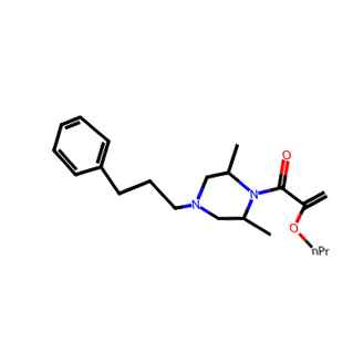 C=C(OCCC)C(=O)N1C(C)CN(CCCc2ccccc2)CC1C